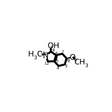 CO[C@H]1CCC2=C(C1)C(O)N(C)C2